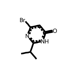 CC(C)c1nc(Br)cc(=O)[nH]1